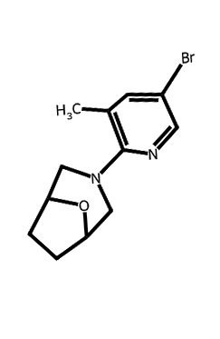 Cc1cc(Br)cnc1N1CC2CCC(C1)O2